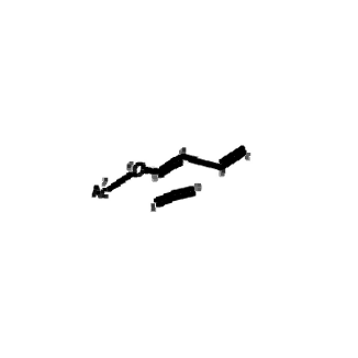 C=C.C=CC=COC(C)=O